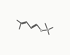 CC(C)=CC=CO[Si](C)(C)C